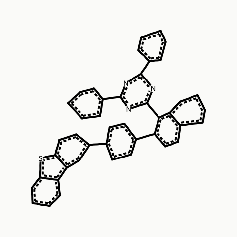 c1ccc(-c2nc(-c3ccccc3)nc(-c3c(-c4ccc(-c5ccc6sc7ccccc7c6c5)cc4)ccc4ccccc34)n2)cc1